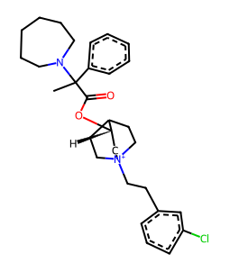 CC(C(=O)O[C@H]1C[N+]2(CCc3cccc(Cl)c3)CCC1CC2)(c1ccccc1)N1CCCCCC1